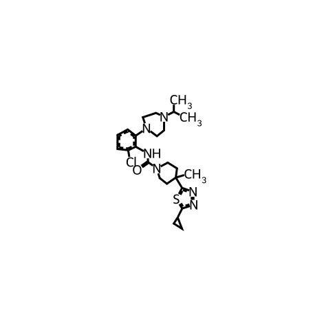 CC(C)N1CCN(c2cccc(Cl)c2NC(=O)N2CCC(C)(c3nnc(C4CC4)s3)CC2)CC1